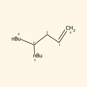 C=CC[C](CCCC)CCCC